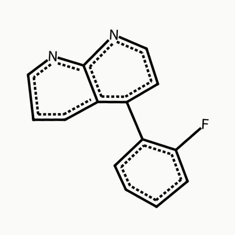 Fc1ccccc1-c1ccnc2ncccc12